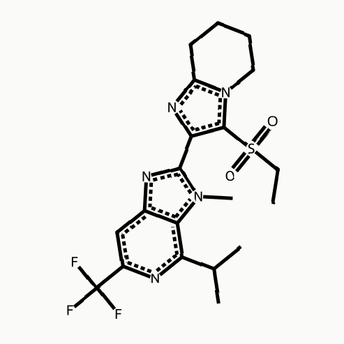 CCS(=O)(=O)c1c(-c2nc3cc(C(F)(F)F)nc(C(C)C)c3n2C)nc2n1CCCC2